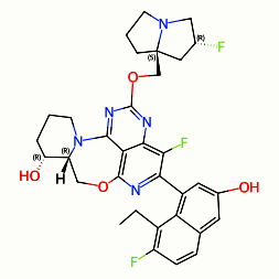 CCc1c(F)ccc2cc(O)cc(-c3nc4c5c(nc(OC[C@@]67CCCN6C[C@H](F)C7)nc5c3F)N3CCC[C@@H](O)[C@H]3CO4)c12